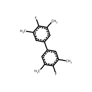 Cc1cc(-c2cc(C)c(F)c(C)c2)cc(C)c1F